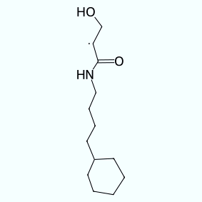 O=C([CH]CO)NCCCCC1CCCCC1